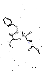 CNC(=O)N[C@@H](COC(=O)/C=C/C(=O)OC)Cc1ccccc1